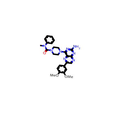 COc1ccc(-c2cnc3nc(N)nc(N4CCN(C(=O)N(C)c5ccccc5)CC4)c3n2)cc1OC